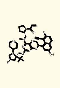 C#Cc1c(F)ccc2cc(O)cc(C3COc4c(nc(OC[C@]5(C(C)(C)C)C[C@@H](F)CN5C5CCOCC5)nc4N(C)C[C@@H]4CCCN4C(=O)C=C)O3)c12